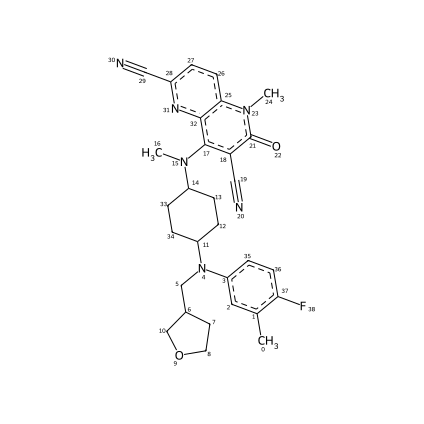 Cc1cc(N(CC2CCOC2)C2CCC(N(C)c3c(C#N)c(=O)n(C)c4ccc(C#N)nc34)CC2)ccc1F